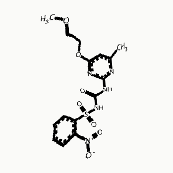 COCCOc1cc(C)nc(NC(=O)NS(=O)(=O)c2ccccc2[N+](=O)[O-])n1